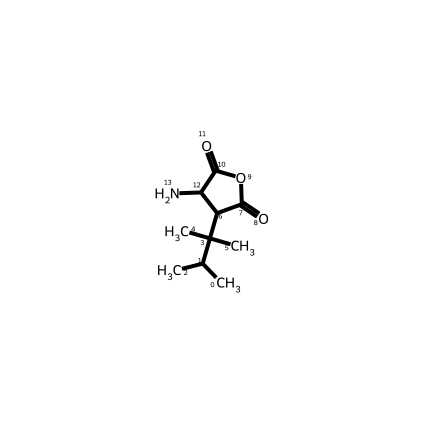 CC(C)C(C)(C)C1C(=O)OC(=O)C1N